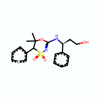 CC1(C)OC(N[C@@H](CCO)c2ccccc2)=NS(=O)(=O)C1c1ccccc1